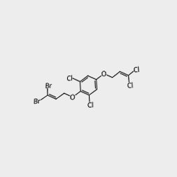 ClC(Cl)=CCOc1cc(Cl)c(OCC=C(Br)Br)c(Cl)c1